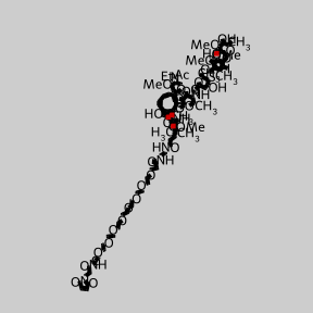 CCN(C(C)=O)C1COC(OC2C(O[C@H]3C#C/C=C\C#C[C@]4(O)CC(=O)C(NC(=O)OC)C3(C)/C4=C\CSSC(C)(C)CCC(=O)NCCNC(=O)CCOCCOCCOCCOCCOCCOCCOCCOCCNC(=O)CCN3C(=O)C=CC3=O)OC(C)C(NOC3CC(O)C(SC(=O)c4c(C)c(I)c(OC5OC(C)C(O)C(OC)C5O)c(OC)c4OC)C(C)O3)C2O)CC1OC